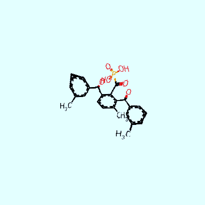 Cc1cccc(C(=O)c2ccc(C)c(C(=O)c3cccc(C)c3)c2C(=O)P(=O)(O)O)c1